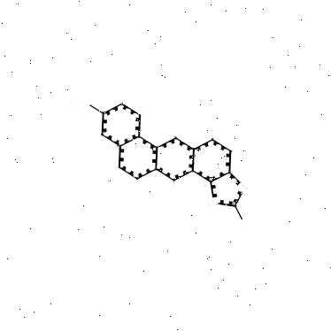 Cc1ccc2c(ccc3cc4c(ccc5[nH]c(C)nc54)cc32)c1